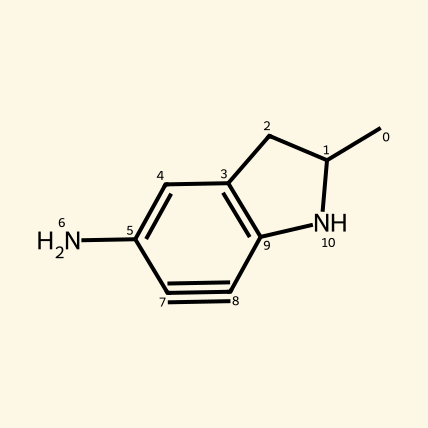 CC1Cc2cc(N)c#cc2N1